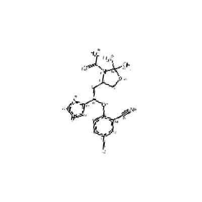 CC(=O)N1C(C[C@@H](Oc2ccc(F)cc2C#N)c2cncs2)COC1(C)C